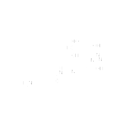 CC(C)c1cc(-c2nnc(O)n2-c2ccc3c(ccn3CCNC(=O)CCCCCN)c2)c(O)cc1O